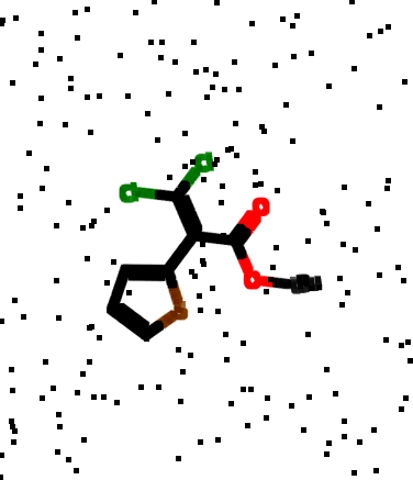 CC(C)(C)OC(=O)C(=C(Cl)Cl)c1cccs1